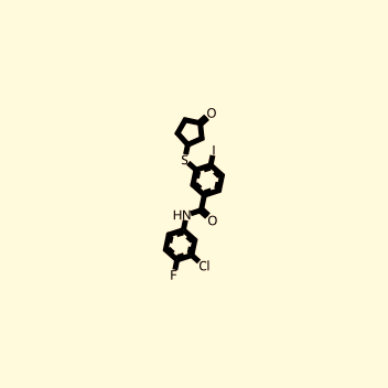 O=C1CCC(Sc2cc(C(=O)Nc3ccc(F)c(Cl)c3)ccc2I)C1